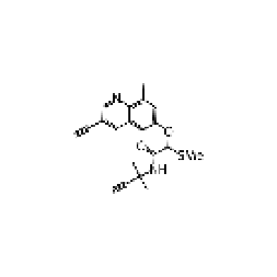 C#Cc1cnc2c(C)cc(OC(SC)C(=O)NC(C)(C)C#C)cc2c1